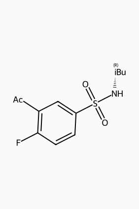 CC[C@@H](C)NS(=O)(=O)c1ccc(F)c(C(C)=O)c1